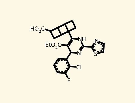 CCOC(=O)C1=C(C23C4C5C2C2C3C4C52C(=O)O)NC(c2nccs2)=NC1c1cccc(F)c1Cl